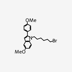 COc1ccc(-c2cc3cc(OC)ccc3n2CCCCCCBr)cc1